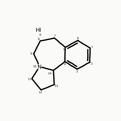 I.c1ccc2c(c1)CCCN1CCCC21